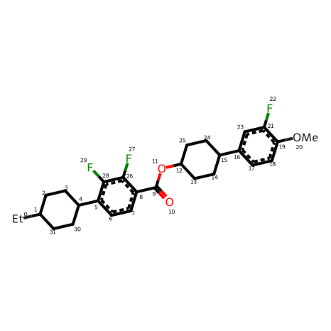 CCC1CCC(c2ccc(C(=O)OC3CCC(c4ccc(OC)c(F)c4)CC3)c(F)c2F)CC1